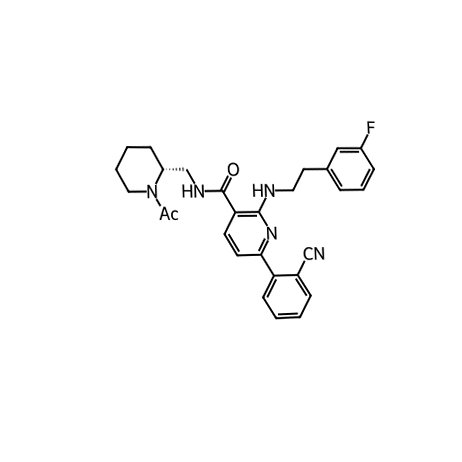 CC(=O)N1CCCC[C@@H]1CNC(=O)c1ccc(-c2ccccc2C#N)nc1NCCc1cccc(F)c1